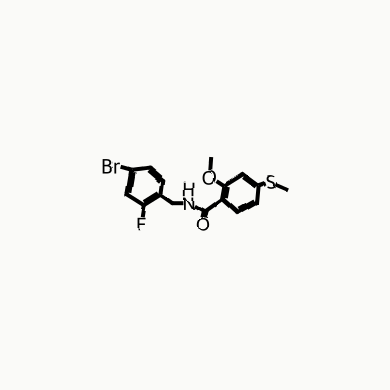 COc1cc(SC)ccc1C(=O)NCc1ccc(Br)cc1F